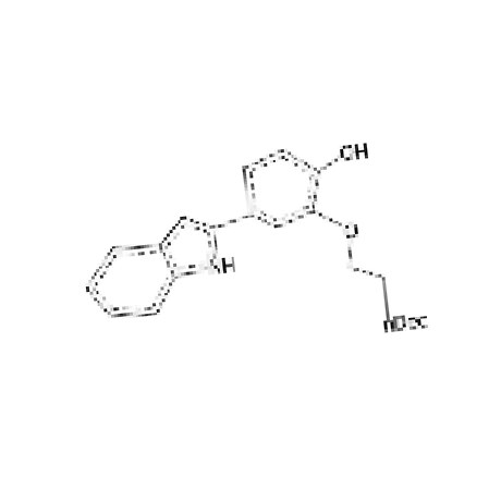 CCCCCCCCCCCCOc1cc(-c2cc3ccccc3[nH]2)ccc1O